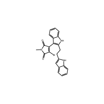 CN1C(=O)C(Br)=C(c2c(CCc3cc4ccccc4[nH]3)[nH]c3ccccc23)C1=O